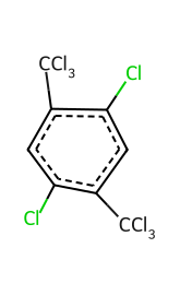 Clc1cc(C(Cl)(Cl)Cl)c(Cl)cc1C(Cl)(Cl)Cl